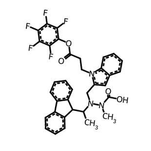 CC(C1c2ccccc2-c2ccccc21)N(Cc1cc2ccccc2n1CCC(=O)Oc1c(F)c(F)c(F)c(F)c1F)N(C)C(=O)O